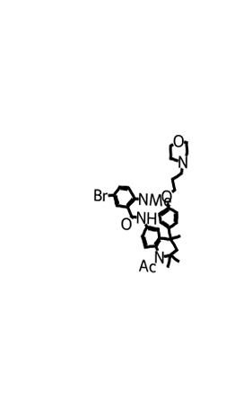 CNc1ccc(Br)cc1C(=O)Nc1ccc2c(c1)C(C)(c1ccc(OCCCN3CCOCC3)cc1)CC(C)(C)N2C(C)=O